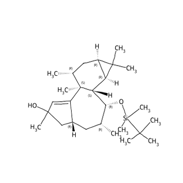 C[C@@H]1C[C@@H]2CC(C)(O)C=C2[C@]2(C)[C@@H]([C@@H]1O[Si](C)(C)C(C)(C)C)[C@H]1[C@@H](C[C@H]2C)C1(C)C